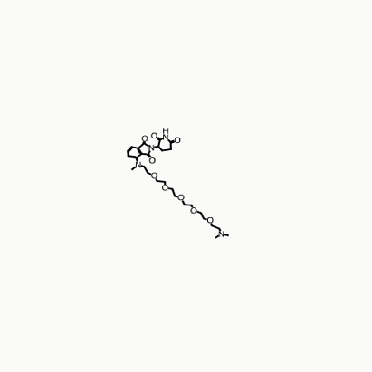 CN(C)CCOCCOCCOCCOCCOCCN(C)c1cccc2c1C(=O)N(C1CCC(=O)NC1=O)C2=O